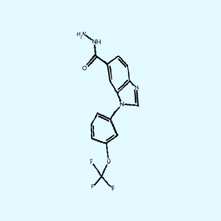 NNC(=O)c1ccc2ncn(-c3cccc(OC(F)(F)F)c3)c2c1